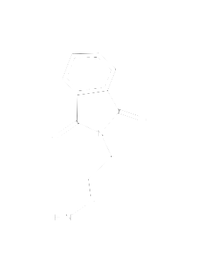 NOCCN1C(=O)c2ccccc2C1=O